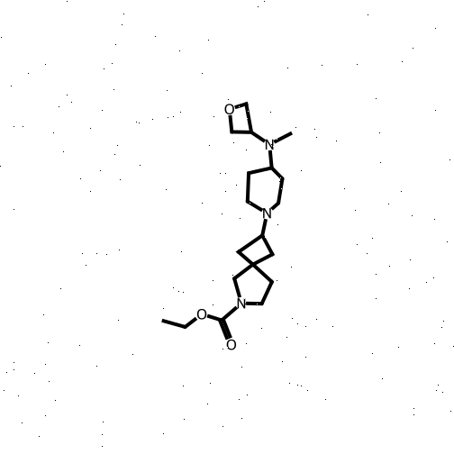 CCOC(=O)N1CCC2(CC(N3CCC(N(C)C4COC4)CC3)C2)C1